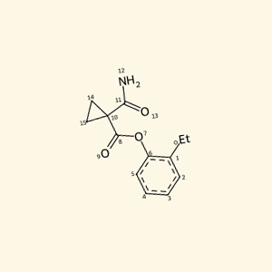 CCc1ccccc1OC(=O)C1(C(N)=O)CC1